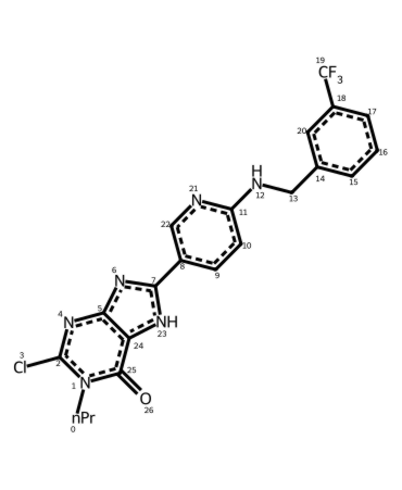 CCCn1c(Cl)nc2nc(-c3ccc(NCc4cccc(C(F)(F)F)c4)nc3)[nH]c2c1=O